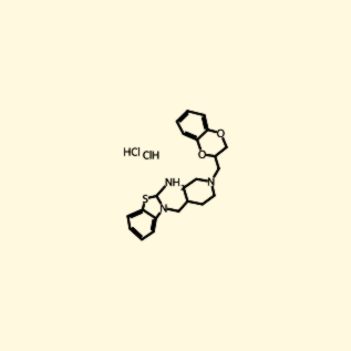 Cl.Cl.NC1Sc2ccccc2N1CC1CCN(CC2COc3ccccc3O2)CC1